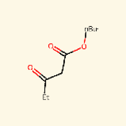 CCC[CH]OC(=O)CC(=O)CC